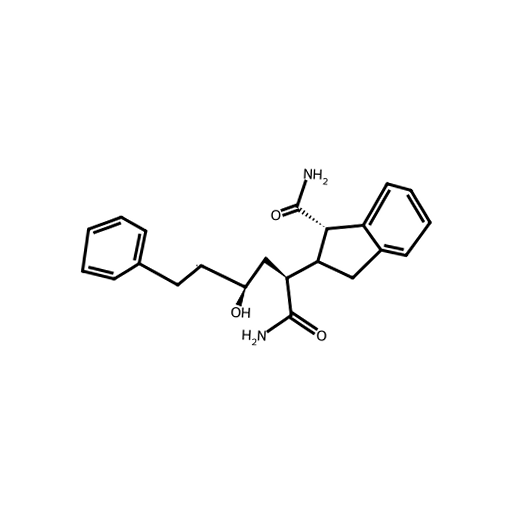 NC(=O)[C@@H](C[C@@H](O)[CH]Cc1ccccc1)C1Cc2ccccc2[C@H]1C(N)=O